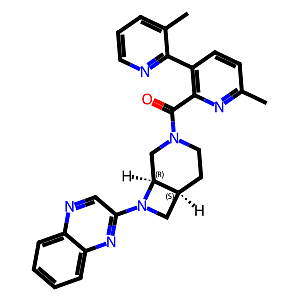 Cc1ccc(-c2ncccc2C)c(C(=O)N2CC[C@H]3CN(c4cnc5ccccc5n4)[C@H]3C2)n1